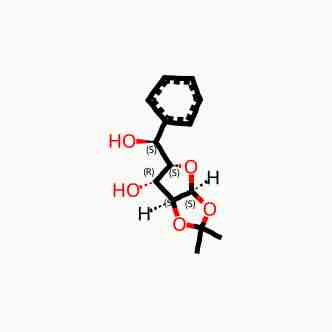 CC1(C)O[C@@H]2O[C@@H]([C@@H](O)c3ccccc3)[C@@H](O)[C@@H]2O1